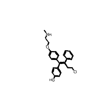 CNCCOc1ccc(C(=C(CCCl)c2ccccc2)c2ccc(O)cc2)cc1